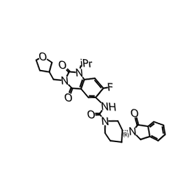 CC(C)n1c(=O)n(CC2CCOC2)c(=O)c2cc(NC(=O)N3CCC[C@@H](N4Cc5ccccc5C4=O)C3)c(F)cc21